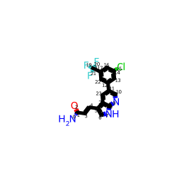 NC(=O)C=Cc1c[nH]c2ncc(-c3cc(Cl)cc(C(F)(F)F)c3)cc12